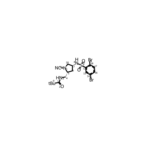 CC(C)(C)C(=O)NC[C@H]1C[C@@H](NS(=O)(=O)c2cc(Br)ccc2Br)CN1C#N